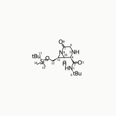 CC(C)(C)NC(=O)[C@@H]1NCC(=O)N2[C@@H]1[C@H]2CO[Si](C)(C)C(C)(C)C